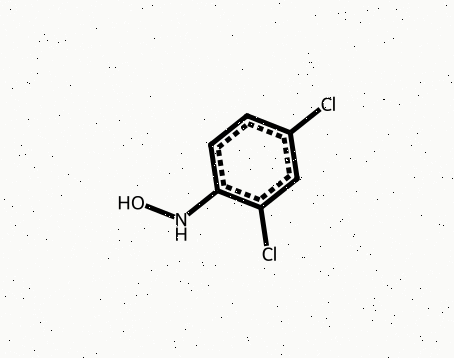 ONc1ccc(Cl)cc1Cl